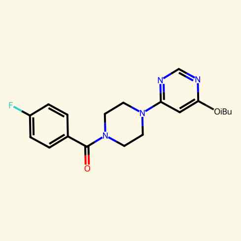 CC(C)COc1cc(N2CCN(C(=O)c3ccc(F)cc3)CC2)ncn1